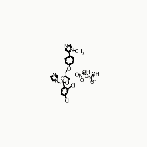 Cn1cncc1-c1ccc(OC[C@@H]2CO[C@@](Cn3ccnc3)(c3ccc(Cl)cc3Cl)O2)cc1.O=[N+]([O-])O.O=[N+]([O-])O